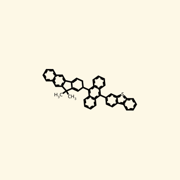 CC1(C)C2=CC(c3c4ccccc4c(-c4ccc5c(c4)sc4ccccc45)c4ccccc34)CC=C2c2cc3ccccc3cc21